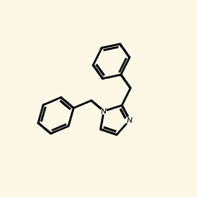 [c]1ccc(Cc2nccn2Cc2ccccc2)cc1